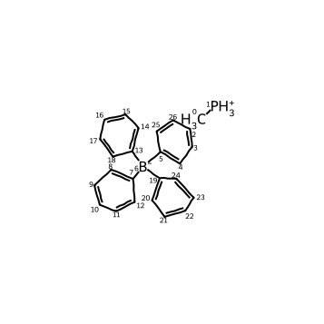 C[PH3+].c1ccc([B-](c2ccccc2)(c2ccccc2)c2ccccc2)cc1